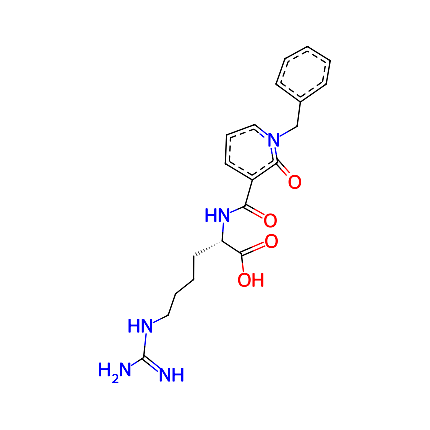 N=C(N)NCCCC[C@H](NC(=O)c1cccn(Cc2ccccc2)c1=O)C(=O)O